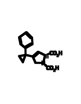 O=C(O)[C@H]1C=C(C2(c3ccccc3)CC2)CN1C(=O)O